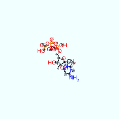 C[C@@]1(O)[C@H](O)[C@@H](COP(=O)(O)OP(=O)(O)OP(=O)(O)O)O[C@@]1(C#N)n1ccc(N)nc1=O